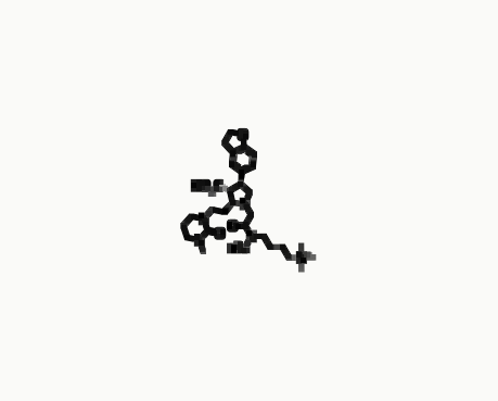 CCCCN(CCCC[N+](C)(C)C)C(=O)CN1C[C@H](c2ccc3c(c2)CCO3)[C@@H](C(=O)O)[C@@H]1CCN1CCCN(C)C1=O